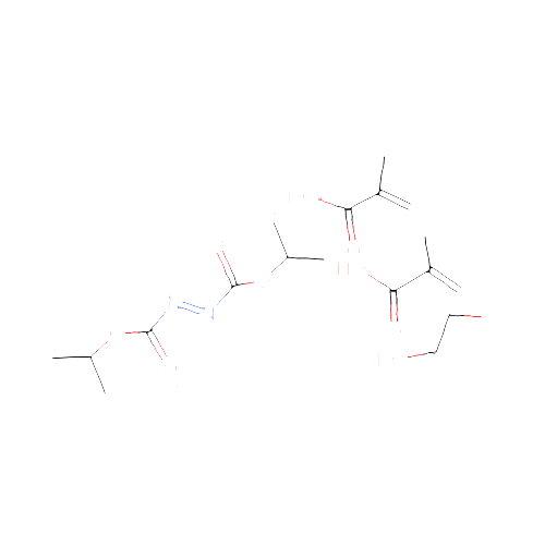 C=C(C)C(=O)O.C=C(C)C(=O)O.CC(C)OC(=O)N=NC(=O)OC(C)C.OCCO